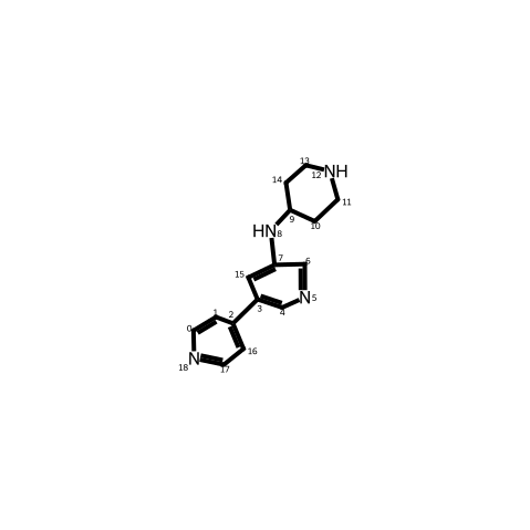 c1cc(-c2cncc(NC3CCNCC3)c2)ccn1